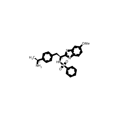 COc1ccc2nc([C@H](Cc3ccc([C@H](C)N)cc3)NS(=O)(=O)c3ccccc3)sc2c1